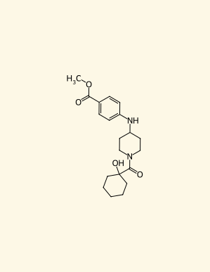 COC(=O)c1ccc(NC2CCN(C(=O)C3(O)CCCCC3)CC2)cc1